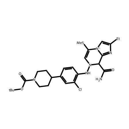 CCC1=C[N+]2C(SC)=CN(Nc3ccc(C4CCN(C(=O)OC(C)(C)C)CC4)cc3Cl)C(C(N)=O)C2=N1